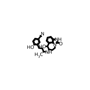 CC(CCc1cc(C#N)ccc1O)NC1CCn2c(=O)[nH]c3cccc(c32)C1O